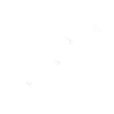 C=CN1CCN(CCN=O)CC1